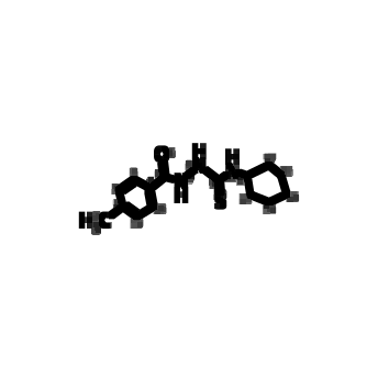 Cc1ccc(C(=O)NNC(=S)NC2CCCCC2)cc1